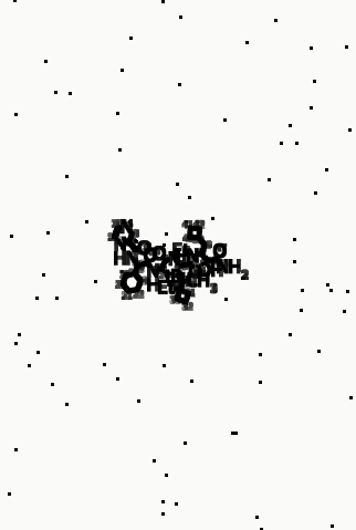 CCN(C(=O)[C@@H](NC(=O)[C@@H](NC(=O)c1cnccn1)C1CCCCC1)C(C)(C)C)[C@@H](C[C@@H](C)C1(CC)CCC1)C(=O)NC(CC1CCC1)C(O)C(N)=O